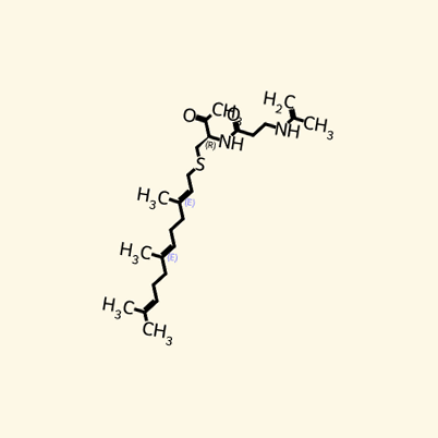 C=C(C)NCCC(=O)N[C@@H](CSC/C=C(\C)CC/C=C(\C)CCC=C(C)C)C(C)=O